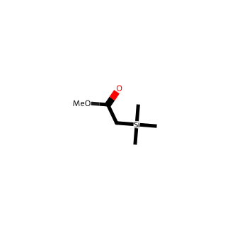 [CH2]OC(=O)C[Si](C)(C)C